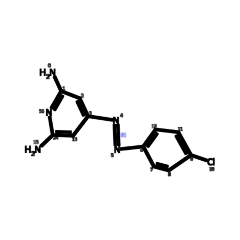 Nc1cc(/N=N/c2ccc(Cl)cc2)cc(N)n1